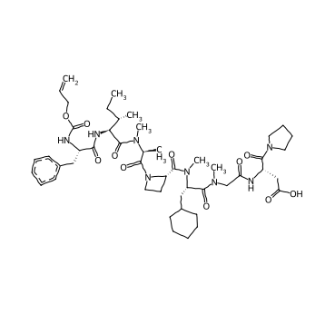 C=CCOC(=O)N[C@@H](Cc1ccccc1)C(=O)N[C@H](C(=O)N(C)[C@@H](C)C(=O)N1CC[C@H]1C(=O)N(C)[C@@H](CC1CCCCC1)C(=O)N(C)CC(=O)N[C@@H](CC(=O)O)C(=O)N1CCCC1)[C@@H](C)CC